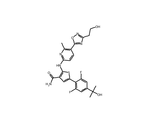 Cc1nc(Nc2sc(-c3c(F)cc(C(C)(C)O)cc3F)cc2C(N)=O)ccc1-c1nc(CCO)no1